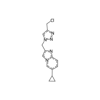 ClCc1cn(Cc2cn3cc(C4CC4)ccc3n2)nn1